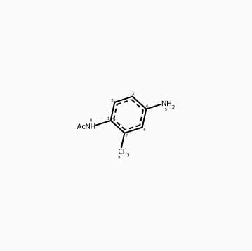 CC(=O)Nc1ccc(N)cc1C(F)(F)F